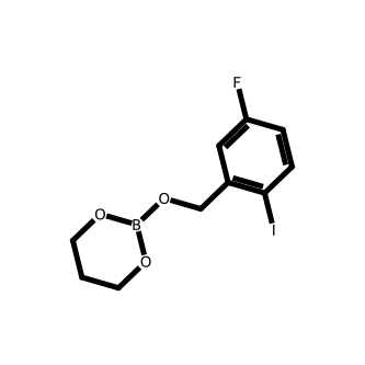 Fc1ccc(I)c(COB2OCCCO2)c1